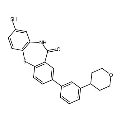 O=C1Nc2cc(S)ccc2Sc2ccc(-c3cccc(C4CCOCC4)c3)cc21